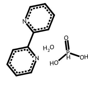 O.O=[PH](O)O.c1ccc(-c2ccccn2)nc1